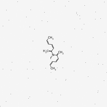 C=C(/C=C\C=C/C)N(I)C(=C)/C=C\C=C/C